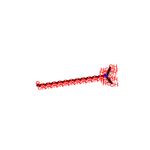 CC(=O)C(O)COCC(O)COCC(O)COCC(O)COCC(O)COCC(O)COCC(O)COCC(O)COCC(O)COCC(O)COCC(O)COCC(O)C(=O)N(C[C@H](O)[C@@H](O)[C@H](O)[C@H](O)CO)C[C@H](O)[C@@H](O)[C@H](O)[C@H](O)CO